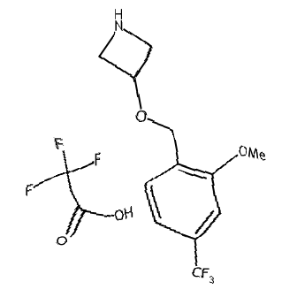 COc1cc(C(F)(F)F)ccc1COC1CNC1.O=C(O)C(F)(F)F